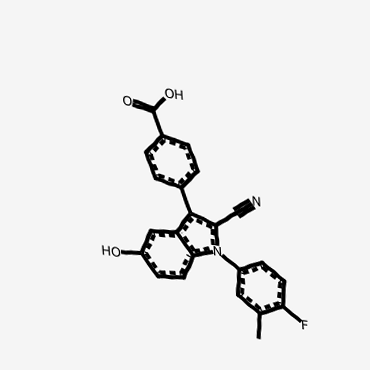 Cc1cc(-n2c(C#N)c(-c3ccc(C(=O)O)cc3)c3cc(O)ccc32)ccc1F